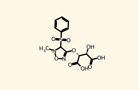 CN1ON=C(O[C@@H](C(=O)O)[C@@H](O)C(=O)O)C1S(=O)(=O)c1ccccc1